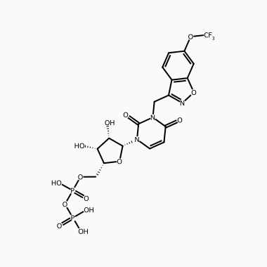 O=c1ccn([C@@H]2O[C@H](COP(=O)(O)OP(=O)(O)O)[C@H](O)[C@@H]2O)c(=O)n1Cc1noc2cc(OC(F)(F)F)ccc12